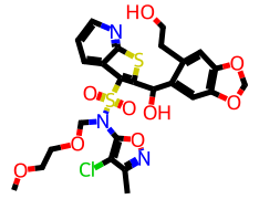 COCCOCN(c1onc(C)c1Cl)S(=O)(=O)c1c(C(O)c2cc3c(cc2CCO)OCO3)sc2ncccc12